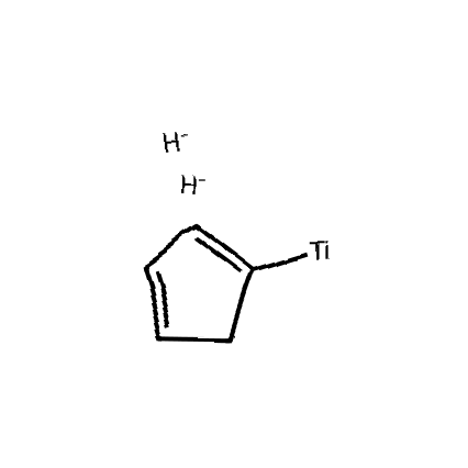 [H-].[H-].[Ti][C]1=CC=CC1